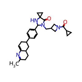 CC1=NC2=CCC(c3ccc(C4NC5(CC5)C(=O)N4CC4CN(C(=O)C5CC5)C4)cc3)CC2CC1